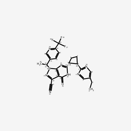 CCc1cnc([C@@H]2CC[C@H]2c2nc3c(c(C#N)nn3[C@@H](C)c3ccc(C(F)(F)F)nc3)c(=O)[nH]2)nc1